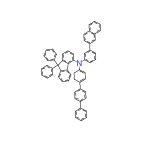 C1=C(c2ccc(-c3ccccc3)cc2)CCC(N(c2cccc(-c3ccc4ccccc4c3)c2)c2cccc3c2-c2ccccc2C3(c2ccccc2)c2ccccc2)=C1